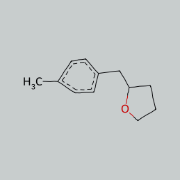 Cc1ccc(CC2CCCO2)cc1